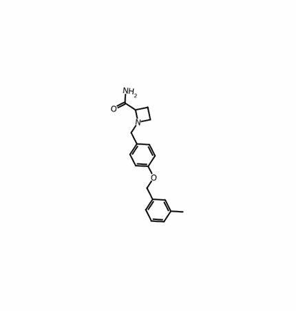 Cc1cccc(COc2ccc(CN3CCC3C(N)=O)cc2)c1